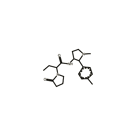 CCC(C(=O)NC1CCN(C)C1c1ccc(C)cc1)N1CCCC1=O